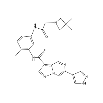 Cc1ccc(NC(=O)CN2CC(C)(C)C2)cc1NC(=O)c1cnn2cc(-c3cn[nH]c3)ncc12